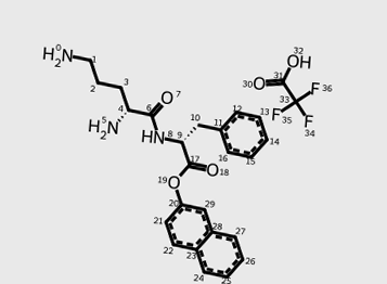 NCCC[C@@H](N)C(=O)N[C@H](Cc1ccccc1)C(=O)Oc1ccc2ccccc2c1.O=C(O)C(F)(F)F